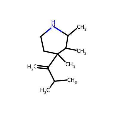 C=C(C(C)C)C1(C)CCNC(C)C1C